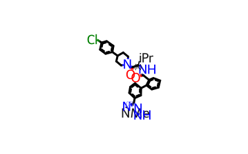 CN/N=C(\N=N)c1cccc(-c2ccccc2C(=O)N[C@@H](C(=O)N2CCC(c3ccc(Cl)cc3)CC2)C(C)C)c1